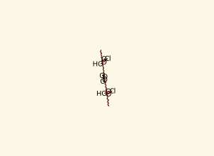 CCCCCCCCC(OC(=O)CCl)C(O)CCCCCCCC(=O)OCOC(=O)CCCCCCCC(O)C(CCCCCCCC)OC(=O)CCl